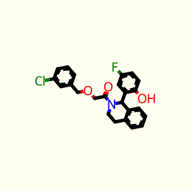 O=C(COCc1cccc(Cl)c1)N1CCc2ccccc2C1c1cc(F)ccc1O